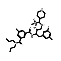 CCCN(CCC)C(=O)c1cc(C)cc(C(=O)NC(Cc2cc(F)cc(F)c2)C(O)CNC(C2CCNCC2)S(C)(=O)=O)c1